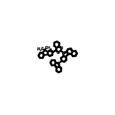 CC1(C)c2ccccc2-c2ccc(-c3nc(-n4c5cc(-n6c7ccccc7c7ccccc76)ccc5c5c6ccccc6ccc54)nc4ccccc34)cc21